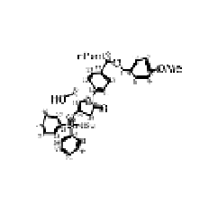 CCCCCC(OCc1ccc(OC)cc1)c1ccc(N2C(=O)CC(O[Si](c3ccccc3)(c3ccccc3)C(C)(C)C)[C@@H]2CO)cc1